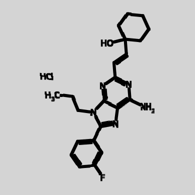 CCCn1c(-c2cccc(F)c2)nc2c(N)nc(C=CC3(O)CCCCC3)nc21.Cl